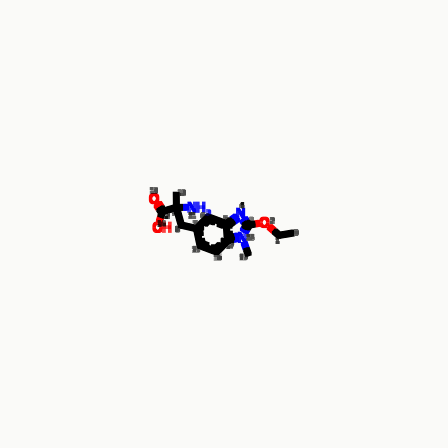 CCOc1nc2cc(CC(C)(N)C(=O)O)ccc2n1C